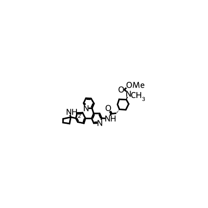 COC(=O)N(C)[C@H]1CC[C@H](CC(=O)Nc2cc(-c3ccccn3)c(-c3ccc(C4(N)CCC4)cc3)cn2)CC1